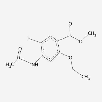 CCOc1cc(NC(C)=O)c(I)cc1C(=O)OC